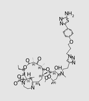 CC[C@H]1OC(=O)[C@H](C)C(=O)[C@H](C)[C@@H](O[C@@H]2O[C@H](C)C[C@H](N(C)CCc3cn(CCCOc4ccc(-c5nnc(N)s5)cc4)nn3)[C@H]2O)[C@](C)(OC)C[C@@H](C)C2=NCCN3C(=O)O[C@@]1(C)[C@@H]3[C@H]2C